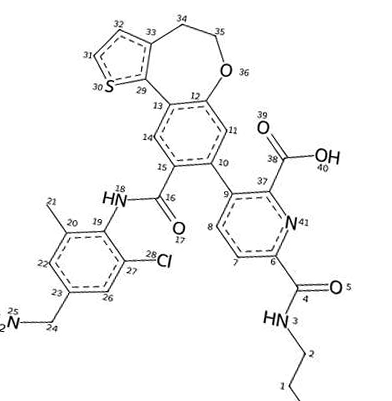 CCCNC(=O)c1ccc(-c2cc3c(cc2C(=O)Nc2c(C)cc(CN)cc2Cl)-c2sccc2CCO3)c(C(=O)O)n1